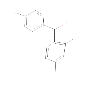 CCCCc1ccc(C([O])c2ccc(C)cc2C)cc1